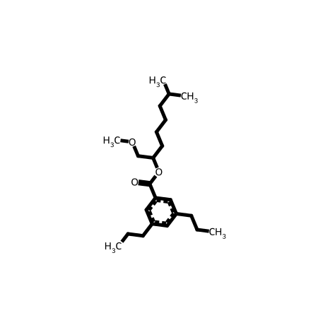 CCCc1cc(CCC)cc(C(=O)OC(CCCCC(C)C)COC)c1